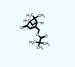 CC(C)(C)C(=O)OCC1=CC(=O)[C@@H]2C[C@H]1C2(C)C